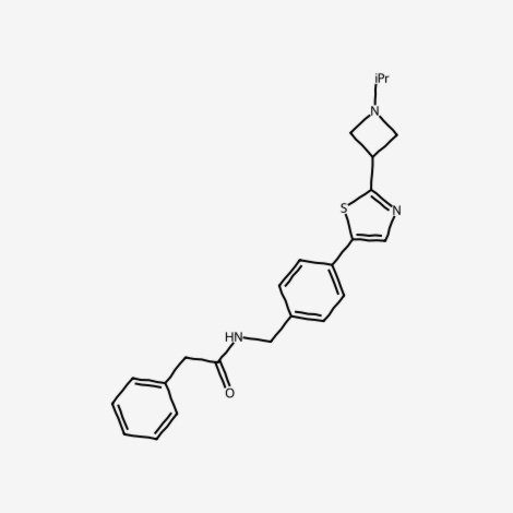 CC(C)N1CC(c2ncc(-c3ccc(CNC(=O)Cc4ccccc4)cc3)s2)C1